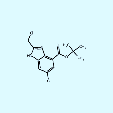 CC(C)(C)OC(=O)c1cc(Cl)cc2[nH]c(CCl)nc12